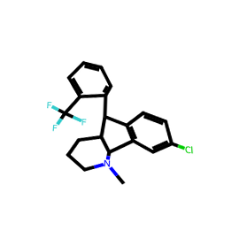 CN1CCCC2C(c3ccccc3C(F)(F)F)c3ccc(Cl)cc3C21